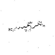 CCCCCCCCC(CCCC(CC(CCCCCCC(=O)O)OC)OC)OC